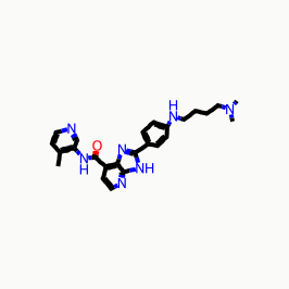 Cc1ccncc1NC(=O)c1ccnc2[nH]c(-c3ccc(NCCCCN(C)C)cc3)nc12